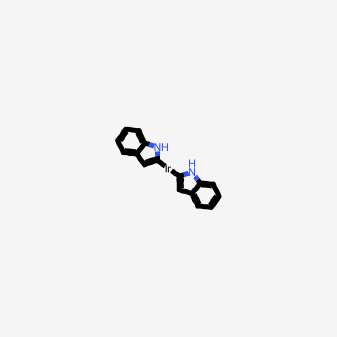 c1ccc2[nH][c]([Ir][c]3cc4ccccc4[nH]3)cc2c1